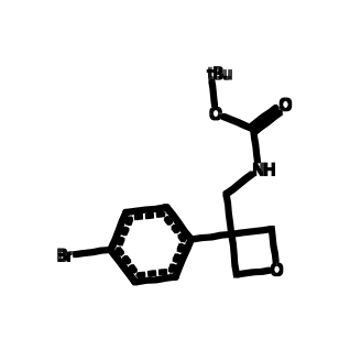 CC(C)(C)OC(=O)NCC1(c2ccc(Br)cc2)COC1